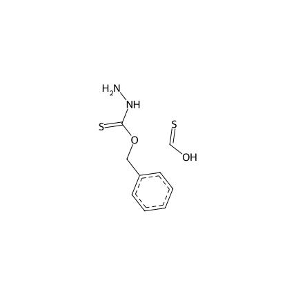 NNC(=S)OCc1ccccc1.OC=S